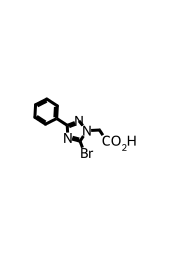 O=C(O)Cn1nc(-c2ccccc2)nc1Br